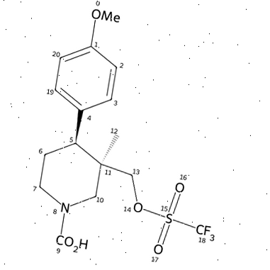 COc1ccc([C@@H]2CCN(C(=O)O)C[C@]2(C)COS(=O)(=O)C(F)(F)F)cc1